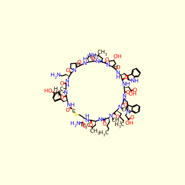 CCCC[C@H]1C(=O)N(C)[C@@H](CCCC)C(=O)N[C@@H](CC(C)C)C(=O)N[C@H](C(N)=O)CSCC(=O)N[C@@H](Cc2ccc(O)cc2)C(=O)N(C)[C@@H](C)C(=O)N[C@@H](CCN)C(=O)N2CCC[C@H]2C(=O)N[C@@H](CN)C(=O)N[C@@H](CC(C)C)C(=O)N2C[C@H](O)C[C@H]2C(=O)N[C@@H](Cc2c[nH]c3ccccc23)C(=O)N[C@@H](CC(=O)O)C(=O)N[C@@H](Cc2cn(CC(=O)O)c3ccccc23)C(=O)N1C